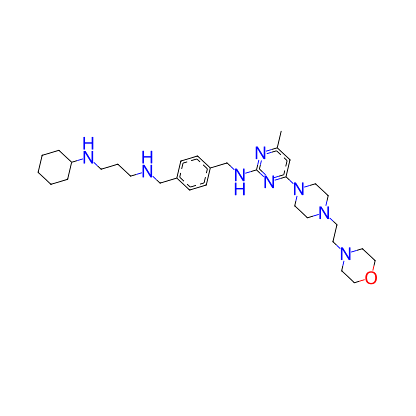 Cc1cc(N2CCN(CCN3CCOCC3)CC2)nc(NCc2ccc(CNCCCNC3CCCCC3)cc2)n1